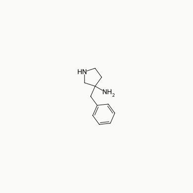 NC1(Cc2ccccc2)CCNC1